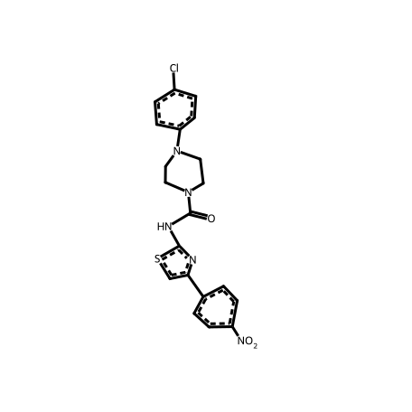 O=C(Nc1nc(-c2ccc([N+](=O)[O-])cc2)cs1)N1CCN(c2ccc(Cl)cc2)CC1